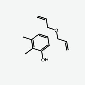 C=CCOCC=C.Cc1cccc(O)c1C